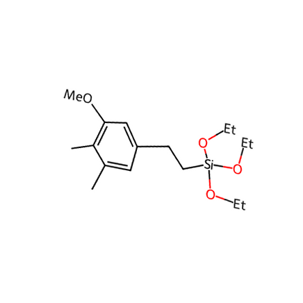 CCO[Si](CCc1cc(C)c(C)c(OC)c1)(OCC)OCC